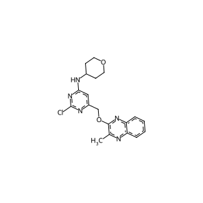 Cc1nc2ccccc2nc1OCc1cc(NC2CCOCC2)nc(Cl)n1